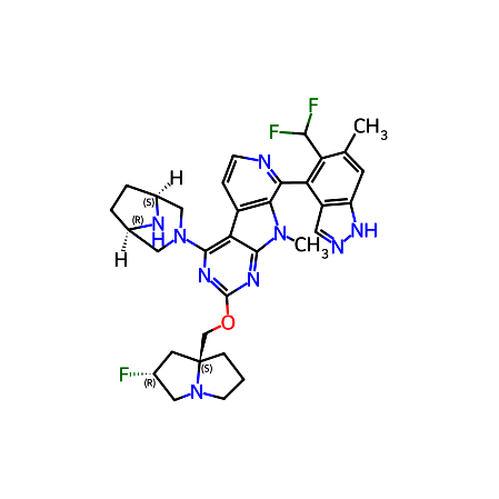 Cc1cc2[nH]ncc2c(-c2nccc3c4c(N5C[C@H]6CC[C@@H](C5)N6)nc(OC[C@@]56CCCN5C[C@H](F)C6)nc4n(C)c23)c1C(F)F